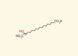 O=C(O)CCCCCCCCCCCCCC/C=C(\O)C(=O)O